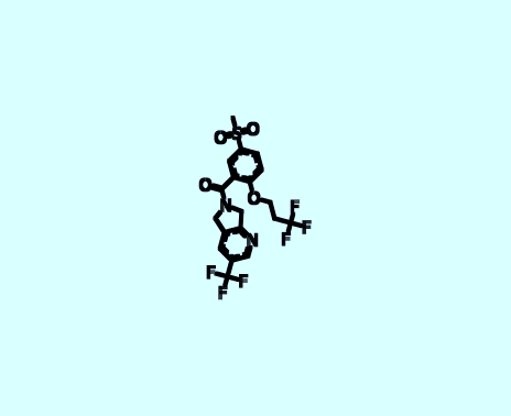 CS(=O)(=O)c1ccc(OCCC(F)(F)F)c(C(=O)N2Cc3cc(C(F)(F)F)cnc3C2)c1